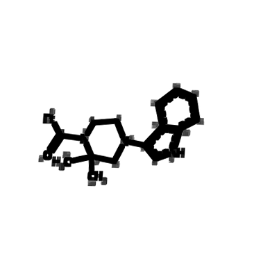 CCC(=O)N1CCN(c2c[nH]c3ccccc23)CC1(C)C